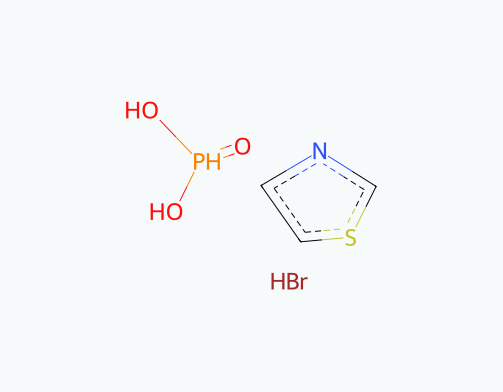 Br.O=[PH](O)O.c1cscn1